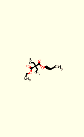 CCCOC(=O)C(CC)(CC)C(=O)OCC